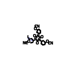 C=C/C(=C\C(=C/C)OC#N)n1c(=O)n(-c2cccc(OC#N)c2)c(=O)n(-c2cccc(OC#N)c2)c1=O